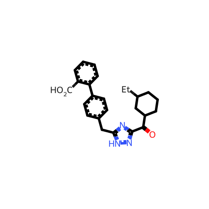 CCC1CCCC(C(=O)c2n[nH]c(Cc3ccc(-c4ccccc4C(=O)O)cc3)n2)C1